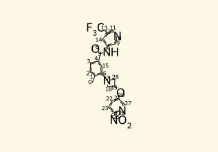 Cc1ccc(C(=O)Nc2cncc(C(F)(F)F)c2)cc1N1CC(Oc2ccc([N+](=O)[O-])nc2)C1